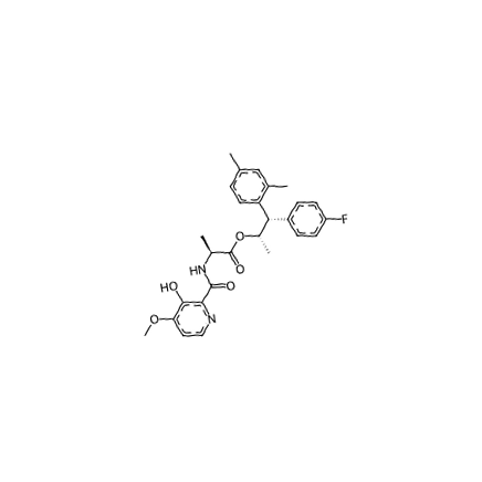 COc1ccnc(C(=O)N[C@@H](C)C(=O)O[C@@H](C)[C@@H](c2ccc(F)cc2)c2ccc(C)cc2C)c1O